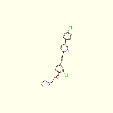 Clc1ccc(-c2ccc(C#Cc3ccc(OCCN4CCCC4)c(Cl)c3)nc2)cc1